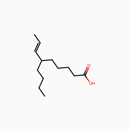 CC=CC(CCCC)CCCCC(=O)O